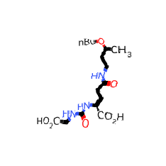 CCCCOC(C)CCNC(=O)CC[C@H](NC(=O)NCC(=O)O)C(=O)O